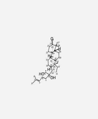 CC(C)=CCC[C@@](O)(CO)[C@H]1CC[C@]2(C)[C@@H]1CC[C@@H]1[C@@]3(C)CCC(=O)C(C)(C)[C@@H]3CC[C@]12C